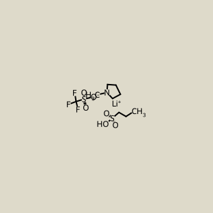 CCCS(=O)(=O)O.CN1CCCC1.O=S(=O)([O-])C(F)(F)F.[Li+]